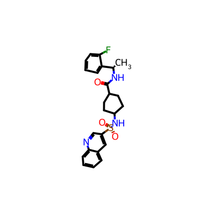 C[C@@H](NC(=O)C1CCC(NS(=O)(=O)c2cnc3ccccc3c2)CC1)c1ccccc1F